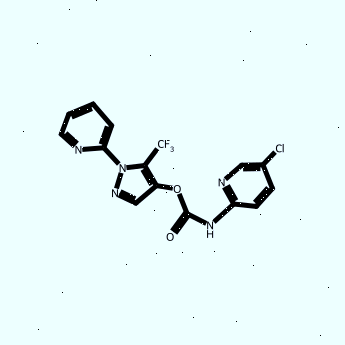 O=C(Nc1ccc(Cl)cn1)Oc1cnn(-c2ccccn2)c1C(F)(F)F